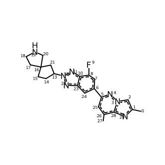 Cc1cn2nc(-c3cc(F)c4nn(C5CCC6(CCNC6)C5)nc4c3)cc(C)c2n1